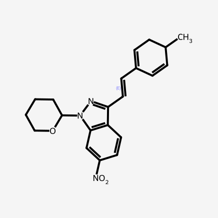 CC1C=CC(/C=C/c2nn(C3CCCCO3)c3cc([N+](=O)[O-])ccc23)=CC1